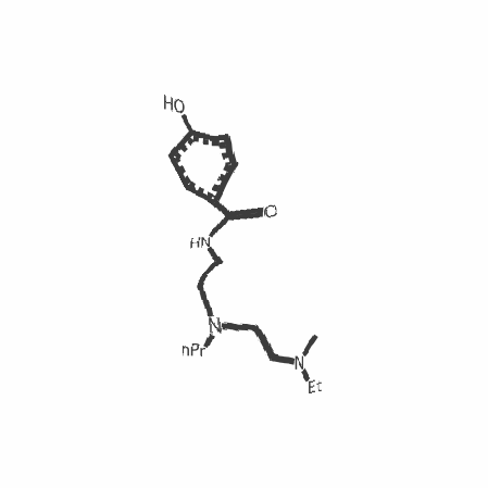 CCCN(CCNC(=O)c1ccc(O)cc1)CCN(C)CC